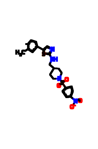 Cc1[c]ccc(-c2cnc(NCC3CCN(S(=O)(=O)c4ccc([N+](=O)[O-])cc4)CC3)s2)c1